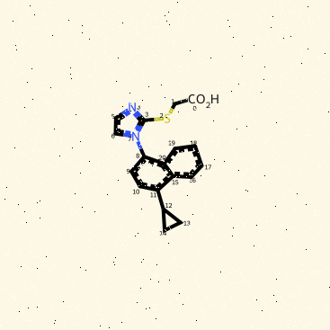 O=C(O)CSc1nccn1-c1ccc(C2CC2)c2ccccc12